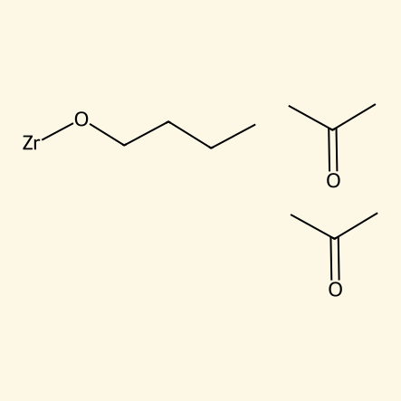 CC(C)=O.CC(C)=O.CCCC[O][Zr]